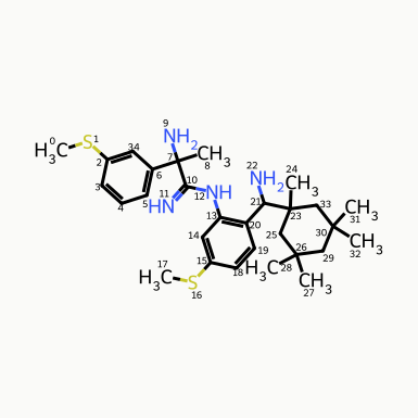 CSc1cccc(C(C)(N)C(=N)Nc2cc(SC)ccc2C(N)C2(C)CC(C)(C)CC(C)(C)C2)c1